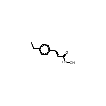 O=C(/C=C/c1ccc(CI)cc1)NO